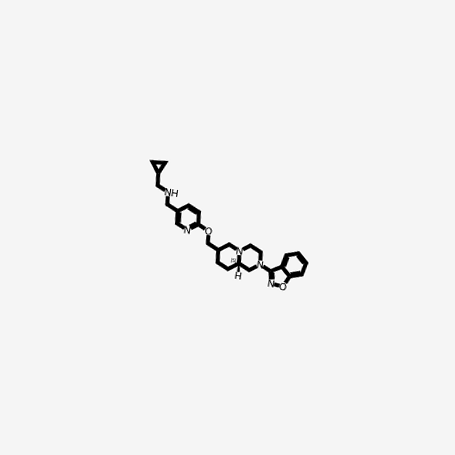 c1ccc2c(N3CCN4CC(COc5ccc(CNCC6CC6)cn5)CC[C@H]4C3)noc2c1